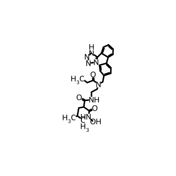 CCC(=O)N(CCNC(=O)C(CC(C)C)C(=O)NO)Cc1ccc(-c2ccccc2-c2nnn[nH]2)cc1